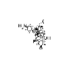 CCC[C@H]1O[C@@H]2C[C@H]3[C@@H]4C[C@H](F)C5=CC(=O)C=C[C@]5(C)[C@@]4(F)[C@@H](O)C[C@]3(C)[C@]2(C(=O)COc2ccc(N)cc2)O1